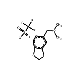 C[S+](C)Cc1ccc2c(c1)OCO2.O=S(=O)([O-])C(F)(F)F